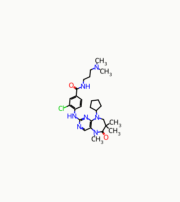 CN(C)CCCNC(=O)c1ccc(Nc2ncc3c(n2)N(C2CCCC2)CC(C)(C)C(=O)N3C)c(Cl)c1